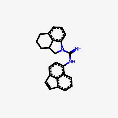 N=C(Nc1ccc2c3c(cccc13)C=C2)N1CC2CCCc3cccc1c32